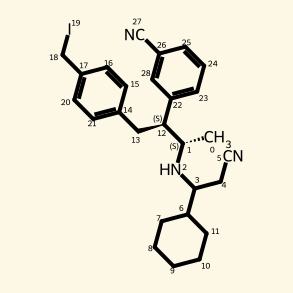 C[C@H](NC(CC#N)C1CCCCC1)[C@@H](Cc1ccc(CI)cc1)c1cccc(C#N)c1